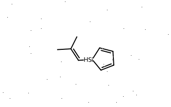 CC(C)=C[SiH]1C=CC=C1